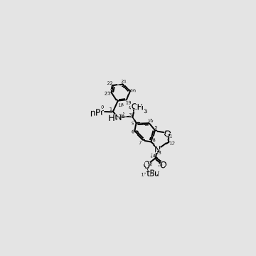 CCCC(NC(C)c1ccc2c(c1)OCN2C(=O)OC(C)(C)C)c1ccccc1